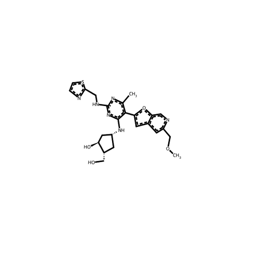 COCc1cc2cc(-c3c(C)nc(NCc4nccs4)nc3N[C@@H]3C[C@H](CO)[C@@H](O)C3)oc2cn1